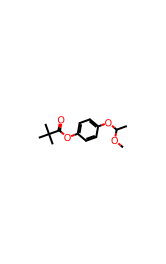 COC(C)Oc1ccc(OC(=O)C(C)(C)C)cc1